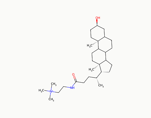 C[C@H](CCC(=O)NCC[N+](C)(C)C)[C@H]1CCC2C3CCC4C[C@H](O)CC[C@]4(C)C3CC[C@@]21C